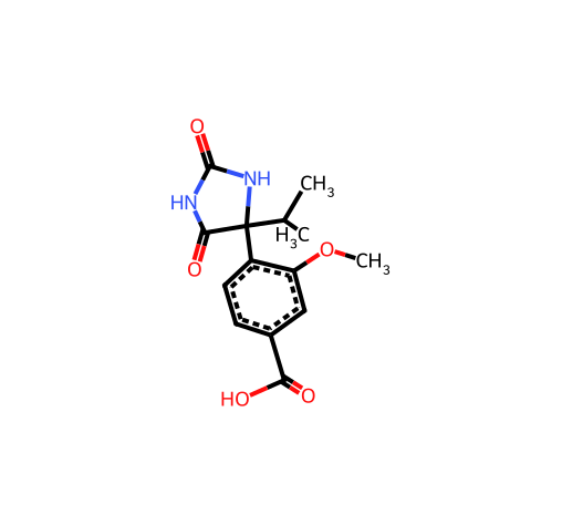 COc1cc(C(=O)O)ccc1C1(C(C)C)NC(=O)NC1=O